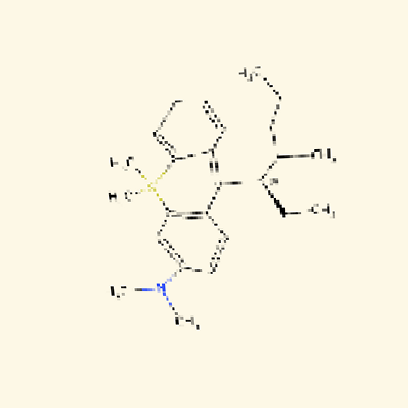 CCCC(C)[C@@H](CC)C1=C2C=CCC=C2S(C)(C)c2cc(N(C)C)ccc21